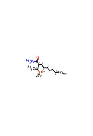 CCCCCCCCCCCCCCCCC(C(N)=O)C(C)[S+]([O-])CCC